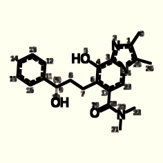 Cc1nc2c(O)c(CC[C@H](O)c3ccccc3)c(C(=O)N(C)C)cn2c1C